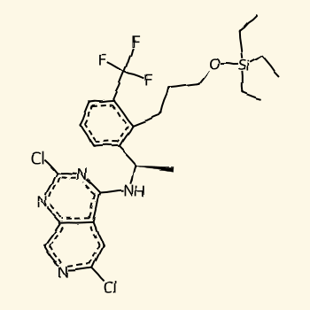 CC[Si](CC)(CC)OCCCc1c([C@@H](C)Nc2nc(Cl)nc3cnc(Cl)cc23)cccc1C(F)(F)F